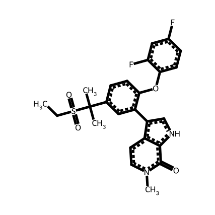 CCS(=O)(=O)C(C)(C)c1ccc(Oc2ccc(F)cc2F)c(-c2c[nH]c3c(=O)n(C)ccc23)c1